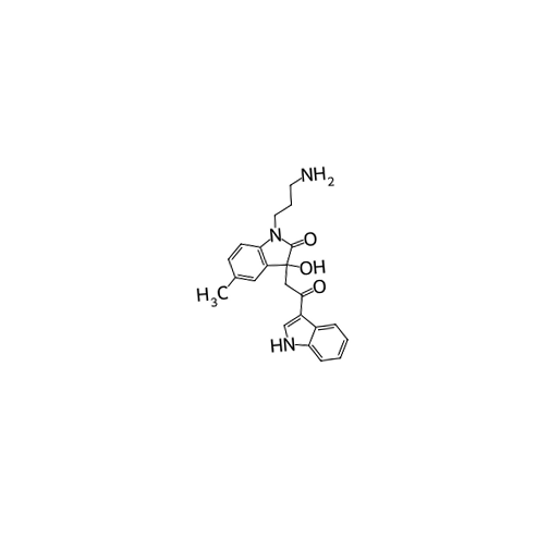 Cc1ccc2c(c1)C(O)(CC(=O)c1c[nH]c3ccccc13)C(=O)N2CCCN